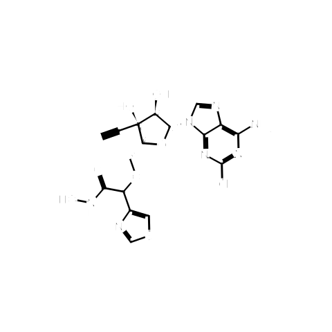 C#C[C@@]1(O)[C@@H](COC(C(=O)NO)c2cscn2)O[C@@H](n2cnc3c(N)nc(Cl)nc32)[C@@H]1O